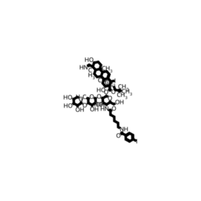 CC1O[C@@H](OC2C(O)[C@@H](NC(=O)CCCCCNC(=O)c3ccc(I)cc3)C(CO)O[C@H]2OC(=O)[C@]2(CCC(C)(C)C)C(I)C3=CCC4C5(C)CC[C@H](O)C(C)(C=N)C5CCC4(C)C3(C)C[C@@H]2O)C(O)C(O)[C@H]1O[C@@H]1OC[C@@H](O)C(O)C1O